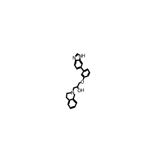 OC(COc1cccc(-c2ccc3nc[nH]c3c2)c1)CN1CCc2ccccc2C1